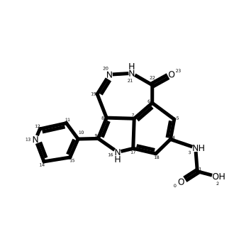 O=C(O)Nc1cc2c3c(c(-c4ccncc4)[nH]c3c1)C=NNC2=O